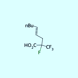 CCCCC=CCC(F)(C(=O)O)C(F)(F)F